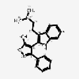 Cc1onc(-c2ccccc2)c1-c1[nH]c2ccccc2c1CCN(C)C